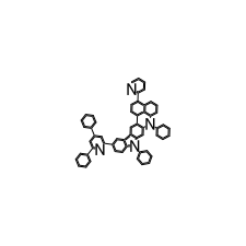 c1ccc(-c2cc(-c3ccccc3)nc(-c3ccc4c(c3)c3cc5c(cc3n4-c3ccccc3)N(c3ccccc3)c3cccc4c(-c6ccccn6)ccc-5c34)c2)cc1